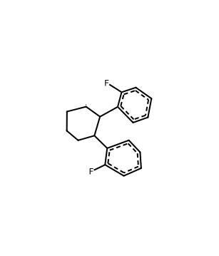 Fc1ccccc1C1[CH]CCCC1c1ccccc1F